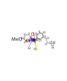 COC1CCC2(CC1)Oc1ccc(CCC3CC3)cc1C21NC(=S)N(C)C1=O